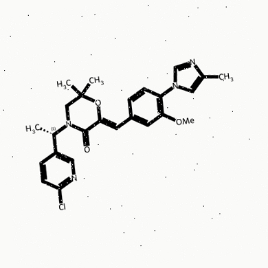 COc1cc(C=C2OC(C)(C)CN([C@@H](C)c3ccc(Cl)nc3)C2=O)ccc1-n1cnc(C)c1